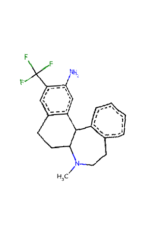 CN1CCc2ccccc2C2c3cc(N)c(C(F)(F)F)cc3CCC21